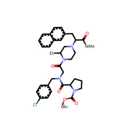 CCC1CN(C(Cc2ccc3ccccc3c2)C(=O)NC)CCN1C(=O)CN(Cc1ccc(Cl)cc1)C(=O)C1CCCN1C(=O)OC(C)(C)C